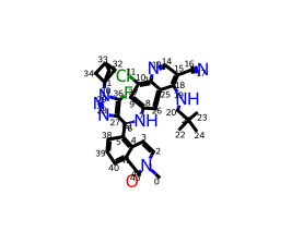 Cn1ccc2c([C@H](Nc3cc(Cl)c4ncc(C#N)c(NCC(C)(C)C)c4c3)c3nnn(C45CC(C4)C5)c3F)cccc2c1=O